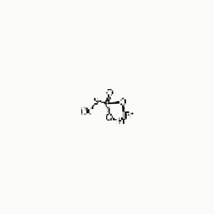 CCC(C)SP(=O)(OC(C)C)OC(C)C